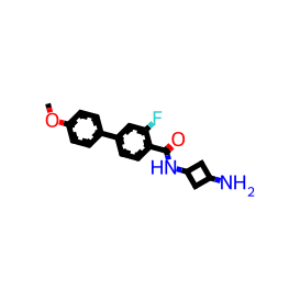 COc1ccc(-c2ccc(C(=O)NC3CC(N)C3)c(F)c2)cc1